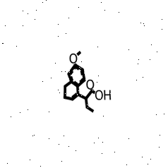 CCC(C(=O)O)C1=CCCc2cc(OC)ccc21